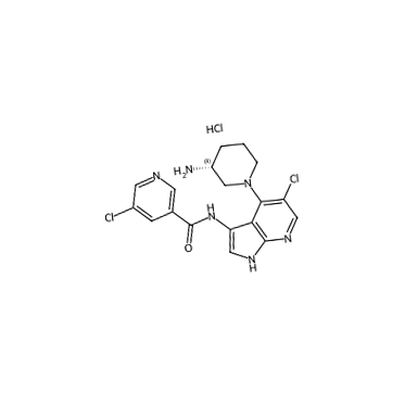 Cl.N[C@@H]1CCCN(c2c(Cl)cnc3[nH]cc(NC(=O)c4cncc(Cl)c4)c23)C1